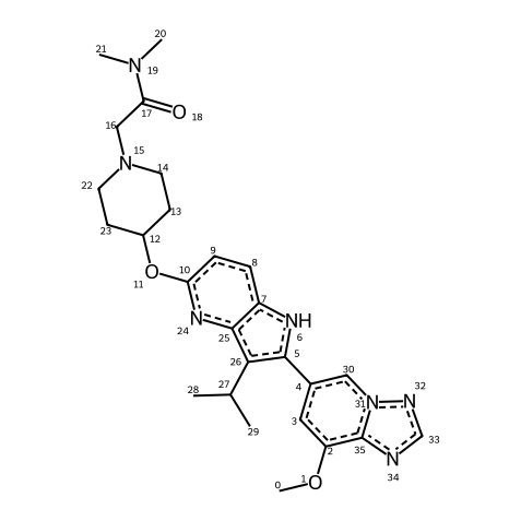 COc1cc(-c2[nH]c3ccc(OC4CCN(CC(=O)N(C)C)CC4)nc3c2C(C)C)cn2ncnc12